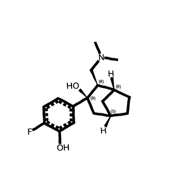 CN(C)C[C@H]1[C@@H]2CC[C@@H](C2)C[C@]1(O)c1ccc(F)c(O)c1